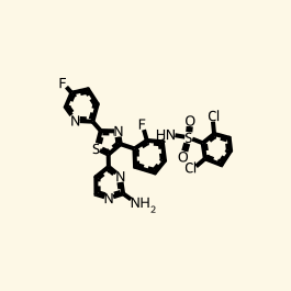 Nc1nccc(-c2sc(-c3ccc(F)cn3)nc2-c2cccc(NS(=O)(=O)c3c(Cl)cccc3Cl)c2F)n1